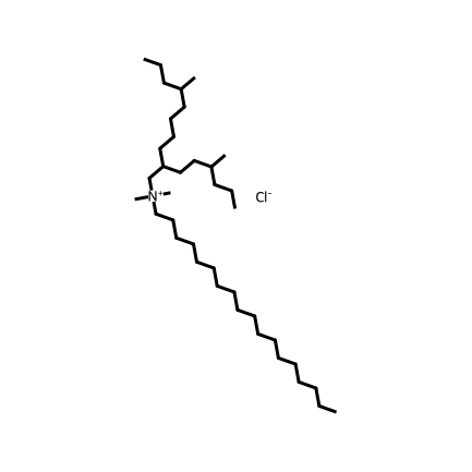 CCCCCCCCCCCCCCCCCC[N+](C)(C)CC(CCCCC(C)CCC)CCC(C)CCC.[Cl-]